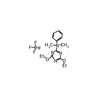 CCOc1nc(OCC)nc([N+](C)(C)c2ccccc2)n1.F[B-](F)(F)F